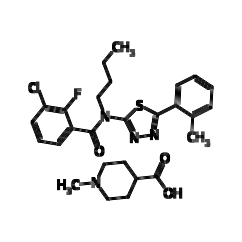 CCCCN(C(=O)c1cccc(Cl)c1F)c1nnc(-c2ccccc2C)s1.CN1CCC(C(=O)O)CC1